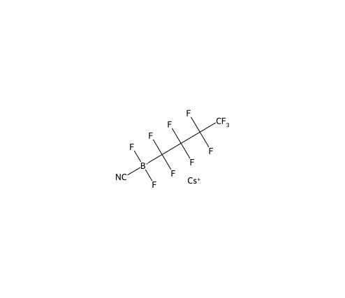 N#C[B-](F)(F)C(F)(F)C(F)(F)C(F)(F)C(F)(F)F.[Cs+]